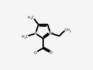 CC[n+]1cc(C)n(C)c1C(=O)[O-]